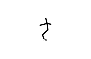 CC(C)(C)C[CH]C#N